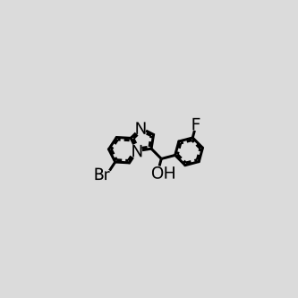 OC(c1cccc(F)c1)c1cnc2ccc(Br)cn12